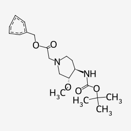 CO[C@@H]1CN(CC(=O)OCc2ccccc2)CC[C@H]1NC(=O)OC(C)(C)C